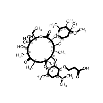 CC[C@H]1OC(=O)[C@H](C)[C@@H](O[C@H]2C[C@@](C)(OC)[C@@H](O)[C@H](C)O2)[C@H](C)[C@@H](O[C@@H]2O[C@H](C)C[C@H](N(C)C)[C@H]2OCCC(=O)O)[C@@](C)(OC)C[C@@H](C)C(=O)[C@H](C)[C@@H](O)[C@]1(C)O